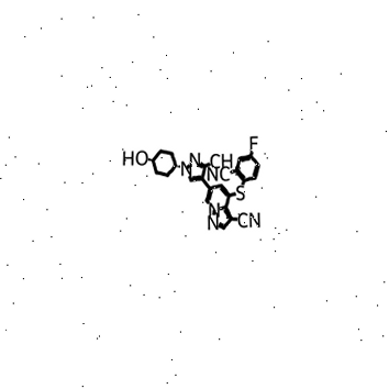 Cc1nn([C@H]2CC[C@H](O)CC2)cc1-c1cc(Sc2ccc(F)cc2C#N)c2c(C#N)cnn2c1